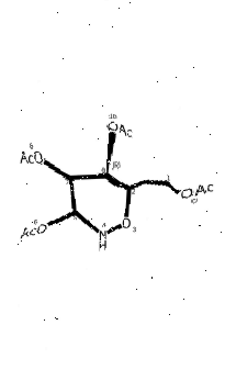 CC(=O)OCC1ONC(OC(C)=O)C(OC(C)=O)[C@H]1OC(C)=O